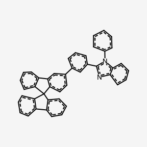 c1ccc(-n2c(-c3cccc(-c4ccc5c(c4)-c4ccccc4C54c5ccccc5-c5ccccc54)c3)nc3ccccc32)cc1